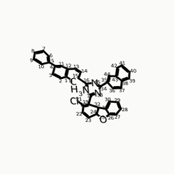 Cc1ccc(-c2ccccc2)cc1/C=C\Cc1nc(C2=C(Cl)C=CC3Oc4ccccc4C23)nc(-c2ccc3ccccc3c2)n1